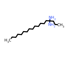 CCCCCCCCCCCCCCC(N)(N)CCC